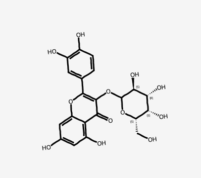 O=c1c(OC2O[C@@H](CO)[C@@H](O)[C@@H](O)[C@@H]2O)c(-c2ccc(O)c(O)c2)oc2cc(O)cc(O)c12